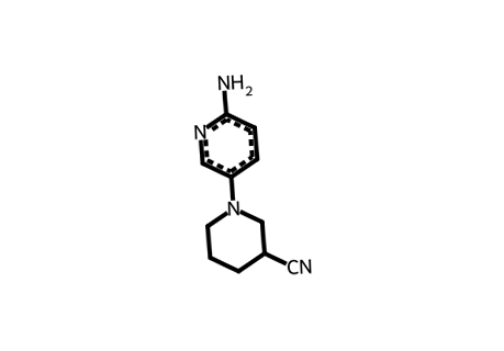 N#CC1CCCN(c2ccc(N)nc2)C1